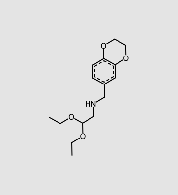 CCOC(CNCc1ccc2c(c1)OCCO2)OCC